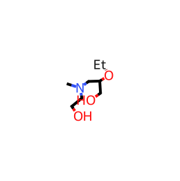 CCOC(CO)CN(C)CCO